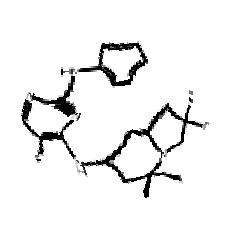 CC1(C)CC(Nc2nc(Nc3ccccc3)ncc2F)CC2CC(F)(F)CN21